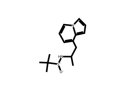 CC(Cc1cccn2cccc12)N[S+]([O-])C(C)(C)C